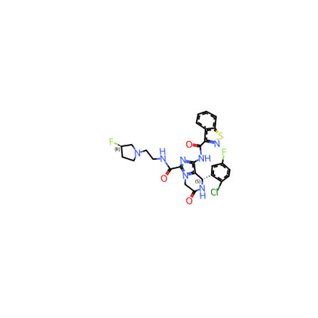 O=C1Cn2c(C(=O)NCCN3CC[C@@H](F)C3)nc(NC(=O)c3nsc4ccccc34)c2[C@H](c2cc(F)ccc2Cl)N1